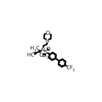 C#CC(C)(C)N(CCN1CCOCC1)S(=O)(=O)c1ccc(-c2ccc(C(F)(F)F)cc2)cc1